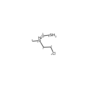 C[SiH](CCCl)O[SiH3]